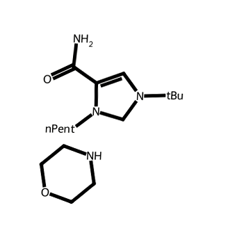 C1COCCN1.CCCCCN1CN(C(C)(C)C)C=C1C(N)=O